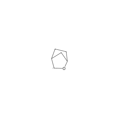 [C]1OC2CCC1C2